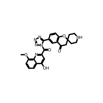 COc1cccc2c(O)cc(C(=O)n3nnnc3-c3ccc4c(c3)C(=O)CC3(CCNCC3)O4)nc12